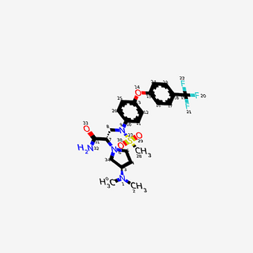 CN(C)[C@@H]1CCN([C@@H](CN(c2ccc(Oc3ccc(C(F)(F)F)cc3)cc2)S(C)(=O)=O)C(N)=O)C1